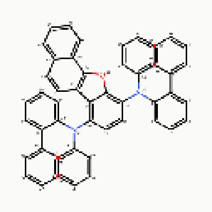 c1ccc(-c2ccccc2N(c2ccccc2)c2ccc(N(c3ccccc3)c3ccccc3-c3ccccc3)c3c2oc2c4ccccc4ccc23)cc1